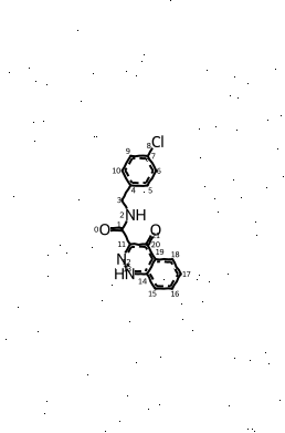 O=C(NCc1ccc(Cl)cc1)c1n[nH]c2ccccc2c1=O